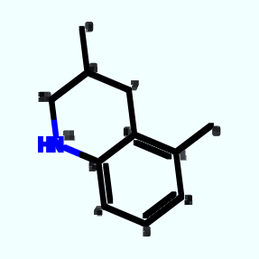 Cc1cccc2c1CC(C)CN2